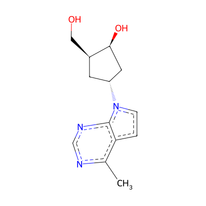 Cc1ncnc2c1ccn2[C@@H]1C[C@@H](CO)[C@@H](O)C1